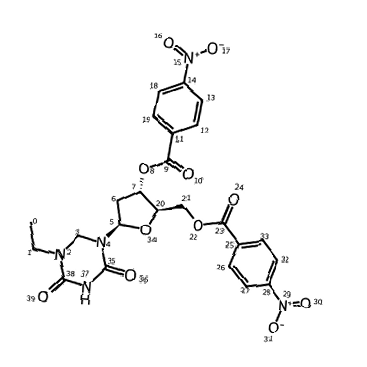 CCN1CN([C@H]2C[C@H](OC(=O)c3ccc([N+](=O)[O-])cc3)[C@@H](COC(=O)c3ccc([N+](=O)[O-])cc3)O2)C(=O)NC1=O